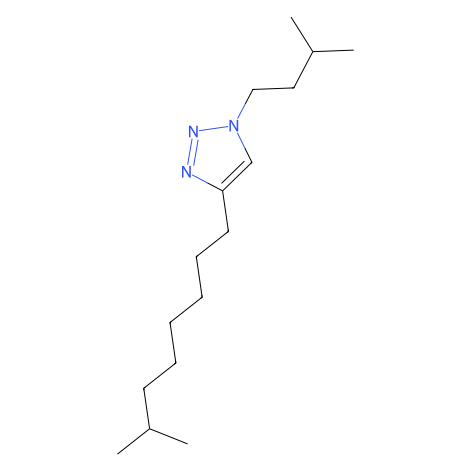 CC(C)CCCCCCc1cn(CCC(C)C)nn1